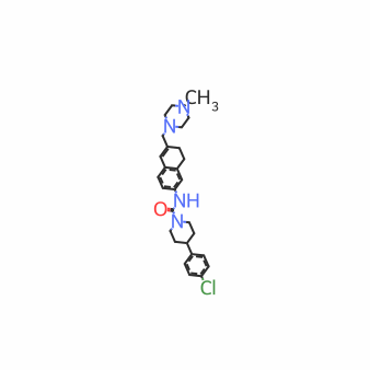 CN1CCN(CC2=Cc3ccc(NC(=O)N4CCC(c5ccc(Cl)cc5)CC4)cc3CC2)CC1